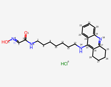 Cl.O=C(/C=N/O)NCCCCCCCNc1c2c(nc3ccccc13)CCCC2